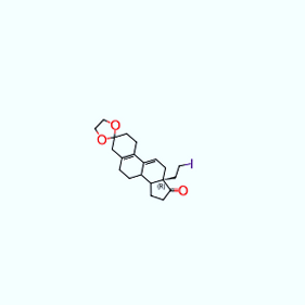 O=C1CCC2C3CCC4=C(CCC5(C4)OCCO5)C3=CC[C@]12CCI